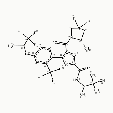 CC(NC(=O)c1nc(C(=O)N2CC(F)(F)C[C@@H]2C)c(-c2cnc(NC(C)C(F)(F)F)cc2C(F)(F)F)s1)C(C)(C)O